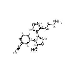 N#Cc1cccc(N2C(c3nonc3SCCN)=NOC2O)c1